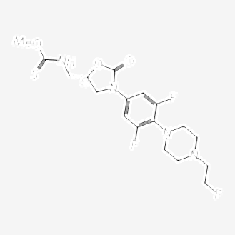 COC(=S)NC[C@H]1CN(c2cc(F)c(N3CCN(CCF)CC3)c(F)c2)C(=O)O1